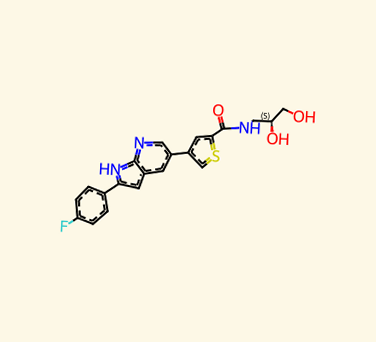 O=C(NC[C@H](O)CO)c1cc(-c2cnc3[nH]c(-c4ccc(F)cc4)cc3c2)cs1